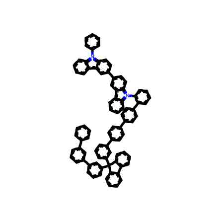 c1ccc(-c2cccc(-c3cccc(C4(c5cccc(-c6ccc(-c7ccc(-c8ccccc8-n8c9ccccc9c9cc(-c%10ccc%11c(c%10)c%10ccccc%10n%11-c%10ccccc%10)ccc98)cc7)cc6)c5)c5ccccc5-c5ccccc54)c3)c2)cc1